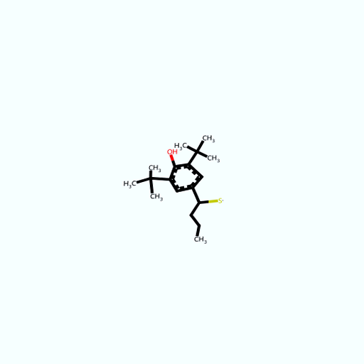 CCCC([S])c1cc(C(C)(C)C)c(O)c(C(C)(C)C)c1